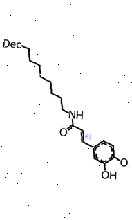 CCCCCCCCCCCCCCCCCCNC(=O)/C=C/c1ccc(O)c(O)c1